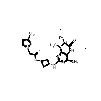 Cc1nc(N[C@H]2C[C@H](NC(=O)Cn3ccc(C(F)(F)F)n3)C2)nc2c1NC(=O)[C@H](C(C)C)N2C